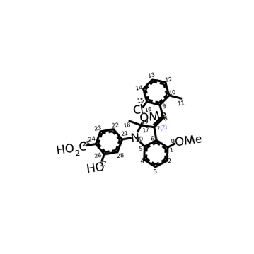 COc1cccc2c1/C(=C/c1c(C)cccc1Cl)C(C)(OC)N2c1ccc(C(=O)O)c(O)c1